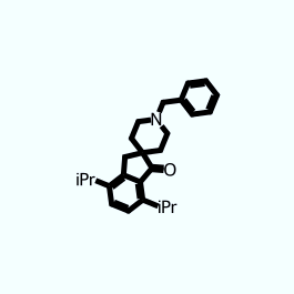 CC(C)c1ccc(C(C)C)c2c1CC1(CCN(Cc3ccccc3)CC1)C2=O